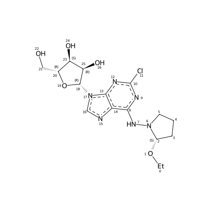 CCO[C@H]1CCCN1Nc1nc(Cl)nc2c1ncn2[C@@H]1O[C@H](CO)[C@@H](O)[C@H]1O